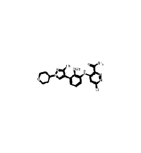 COc1c(Nc2cc(Cl)nnc2C(N)=O)cccc1-c1cn(C2CCOCC2)nc1C#N